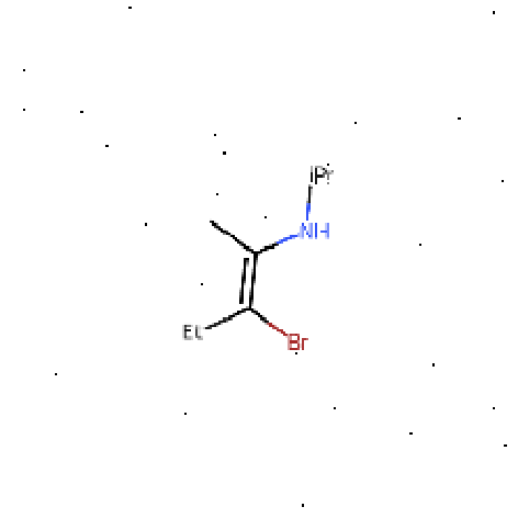 CC/C(Br)=C(\C)NC(C)C